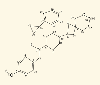 COc1ccc(CN(C)C2CCN(C3CC4(CCNCC4)C3)C(c3ccccc3C3CC3)C2)cc1